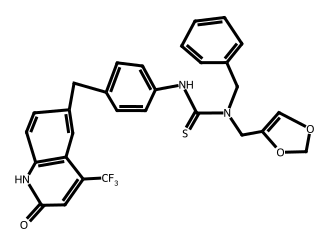 O=c1cc(C(F)(F)F)c2cc(Cc3ccc(NC(=S)N(CC4=COCO4)Cc4ccccc4)cc3)ccc2[nH]1